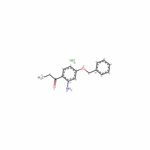 CCC(=O)c1ccc(OCc2ccccc2)cc1N.Cl